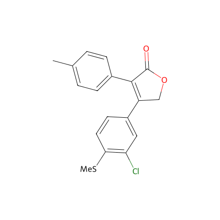 CSc1ccc(C2=C(c3ccc(C)cc3)C(=O)OC2)cc1Cl